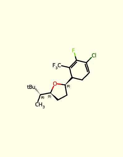 C[C@@H]([C@@H]1CC[C@H](C2CC=C(Cl)C(F)=C2C(F)(F)F)O1)C(C)(C)C